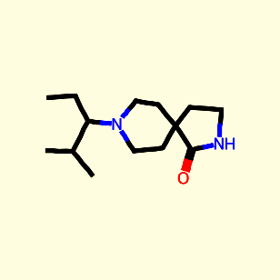 CCC(C(C)C)N1CCC2(CCNC2=O)CC1